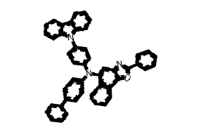 c1ccc(-c2ccc(N(c3ccc(-n4c5ccccc5c5ccccc54)cc3)c3cc4nc(-c5ccccc5)oc4c4ccccc34)cc2)cc1